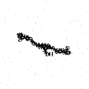 O=c1cc(-c2ccc(OCCOCCn3cc(CN(CCOCCO)Cc4cn(CCOCCOc5ccc(-c6cc(=O)c7ccccc7o6)cc5)nn4)nn3)cc2)oc2ccccc12